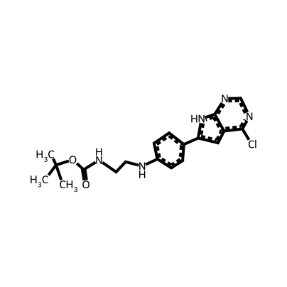 CC(C)(C)OC(=O)NCCNc1ccc(-c2cc3c(Cl)ncnc3[nH]2)cc1